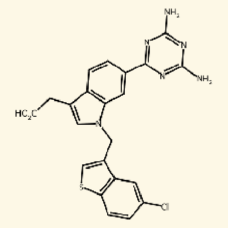 Nc1nc(N)nc(-c2ccc3c(CC(=O)O)cn(Cc4csc5ccc(Cl)cc45)c3c2)n1